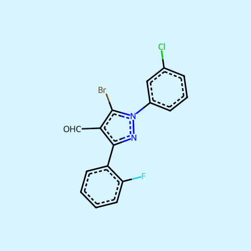 O=Cc1c(-c2ccccc2F)nn(-c2cccc(Cl)c2)c1Br